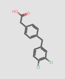 O=C(O)Cc1ccc(Cc2ccc(Cl)c(Cl)c2)cc1